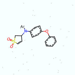 CC(=O)N(c1ccc(Oc2ccccc2)cc1)C1C=CS(=O)(=O)C1